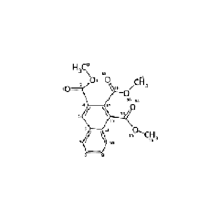 COC(=O)c1cc2ccccc2c(C(=O)OC)c1C(=O)OC